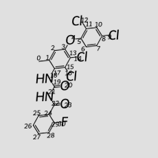 Cc1cc(Oc2ccc(Cl)cc2Cl)c(Cl)c(Cl)c1NC(=O)NC(=O)c1ccccc1F